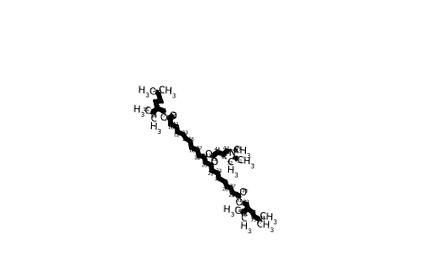 CC(C)CCC(COC(=O)CCCCCCCCCC(CCCCCCCCCC(=O)OCC(CCC(C)C)C(C)C)OC(=O)CCCN(C)C(C)C)C(C)C